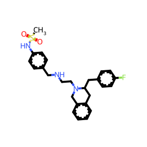 CS(=O)(=O)Nc1ccc(CNCCN2Cc3ccccc3CC2Cc2ccc(F)cc2)cc1